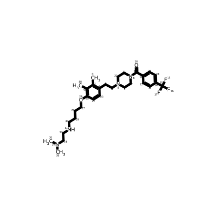 Cc1c(CCN2CCN(C(=O)c3ccc(C(F)(F)F)cc3)CC2)ccc(OCCCCNCCN(C)C)c1C